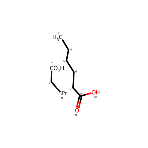 CC(C)CC(=O)O.CCCCCC(=O)O